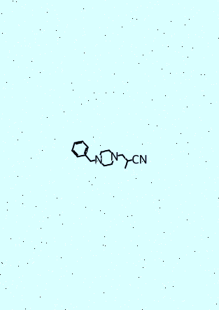 CC(C#N)CN1CCN(Cc2ccccc2)CC1